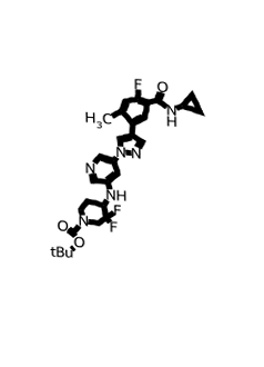 Cc1cc(F)c(C(=O)NC2CC2)cc1-c1cnn(-c2cncc(NC3CCN(C(=O)OC(C)(C)C)CC3(F)F)c2)c1